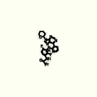 CC(C)C(=O)Nc1ccc(F)c(Nc2ncccc2-c2ncnc3c2ncn3C2CCCCO2)c1F